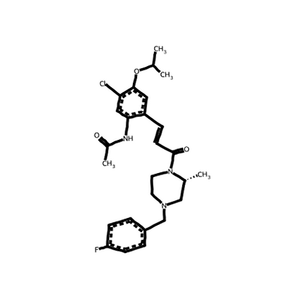 CC(=O)Nc1cc(Cl)c(OC(C)C)cc1/C=C/C(=O)N1CCN(Cc2ccc(F)cc2)C[C@H]1C